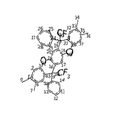 Cc1cc2c(cc1C)C(c1ccccc1)(C(F)(F)F)c1cc3c(cc1O2)C(c1ccccc1)(C(F)(F)F)c1cc(C)c(C)cc1O3